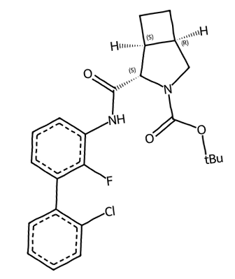 CC(C)(C)OC(=O)N1C[C@@H]2CC[C@@H]2[C@H]1C(=O)Nc1cccc(-c2ccccc2Cl)c1F